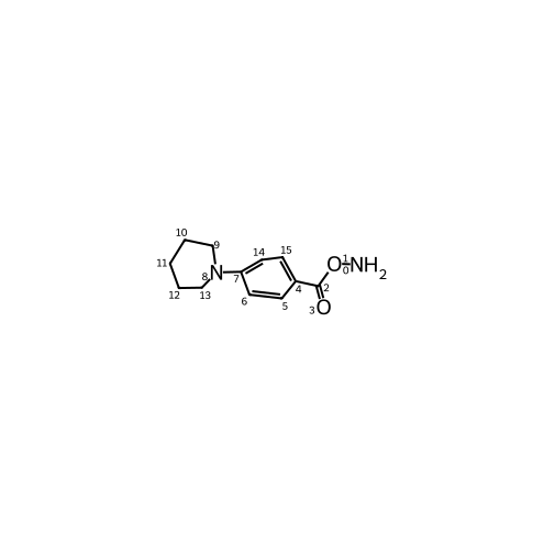 NOC(=O)c1ccc(N2CCCCC2)cc1